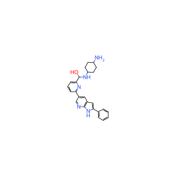 NC1CCC(NC(O)c2cccc(-c3cnc4[nH]c(-c5ccccc5)cc4c3)n2)CC1